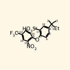 CCC(C)(C)c1ccc(Oc2ccc(C(F)(F)F)cc2[N+](=O)[O-])c(S(=O)(=O)O)c1